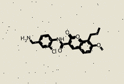 CCCc1c(OC)ccc2cc(C(=O)Nc3ccc(CN)cc3Cl)c(=O)oc12